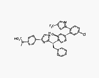 CN(C(=O)O)c1ccc(-c2c[nH]c([C@H](Cc3ccccc3)n3ccc(-c4cc(Cl)ccc4-n4cc(C(F)(F)F)cn4)cc3=O)n2)cc1